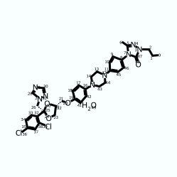 CCCn1nc(C)n(-c2ccc(N3CCN(c4ccc(OC[C@@H]5CO[C@@](Cn6cncn6)(c6ccc(Cl)cc6Cl)O5)cc4)CC3)cc2)c1=O.O